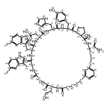 C[C@@]12CCCN1C(=O)[C@H](Cc1ccc(O)cc1)NC(=O)[C@H](Cc1cnc[nH]1)NC(=O)[C@H](CC(=O)O)NC(=O)[C@H](Cc1c[nH]c3ccc(F)cc13)NC(=O)[C@@H](Cc1c[nH]c3ccc(F)cc13)NC(=O)CNC(=O)[C@H](CCO)NC(=O)CCSCc1cccc(c1)CSC[C@@H](C(N)=O)NC2=O